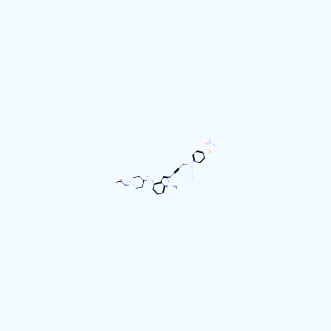 CC(O)CN1CCC(Nc2cccc3c2cc(C#CCNc2ccc(S(N)(=O)=O)cc2)n3CC(F)(F)F)CC1